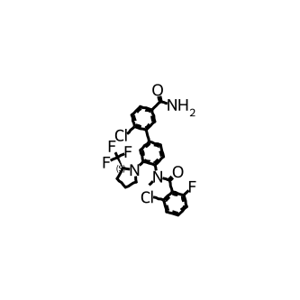 CN(C(=O)c1c(F)cccc1Cl)c1ccc(-c2cc(C(N)=O)ccc2Cl)cc1N1CCC[C@H]1C(F)(F)F